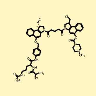 CC(C)C(N)C(=O)NC(CCCNC(N)=O)C(=O)Nc1ccc(COc2cc3c(c4ccccc24)[C@H](CCl)CN3C(=O)CCCC(=O)N2CC(CCl)c3c2cc(OC(=O)N2CCN(C)CC2)c2ccccc32)cc1